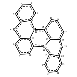 c1ccc2c(c1)sc1cccc3c1-n2c1cccc2sc4ccccc4n3-c21